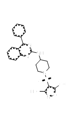 Cc1noc(C)c1S(=O)(=O)N1CCC(Nc2nc(-c3ccccc3)c3ccccc3n2)CC1